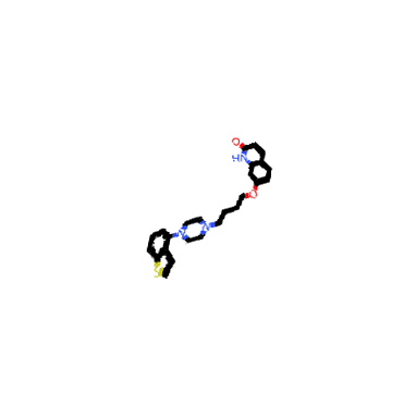 O=C1C=CC2=CC=C(OCCCCN3CCN(c4cccc5sccc45)CC3)CC2N1